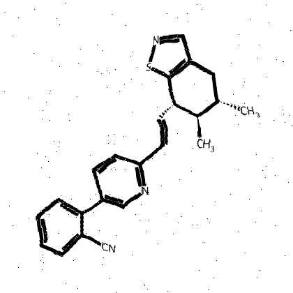 C[C@H]1[C@H](/C=C/c2ccc(-c3ccccc3C#N)cn2)c2sncc2C[C@@H]1C